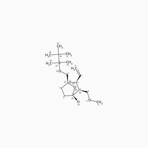 C=C[C@H]1[C@@H](COC)[C@@H]2CC[C@@]1(CO[Si](C)(C)C(C)(C)C)O2